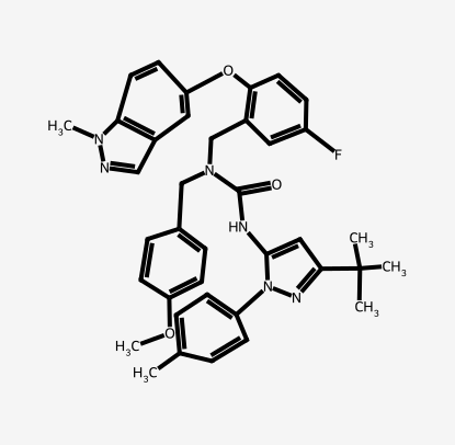 COc1ccc(CN(Cc2cc(F)ccc2Oc2ccc3c(cnn3C)c2)C(=O)Nc2cc(C(C)(C)C)nn2-c2ccc(C)cc2)cc1